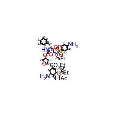 CC(C)CN(C[C@@H](O)[C@H](Cc1ccccc1)NC(=O)O[C@H]1CCOC1)S(=O)(=O)c1ccc(N)cc1.CCOC(=O)C1=C[C@@H](OC(CC)CC)[C@H](NC(C)=O)[C@@H](N)C1